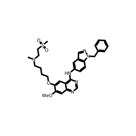 COc1cc2ncnc(Nc3ccc4c(cnn4Cc4ccccc4)c3)c2cc1OCCCCN(C)CCS(C)(=O)=O